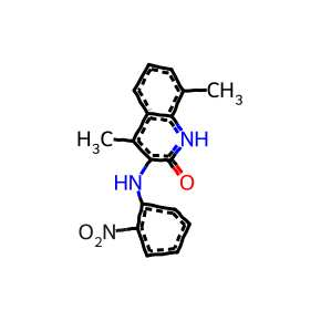 Cc1c(Nc2ccccc2[N+](=O)[O-])c(=O)[nH]c2c(C)cccc12